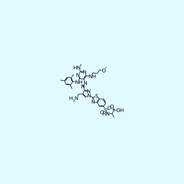 CNc1nc(NCCCOC)c(N=Nc2nn(-c3nc4cc(S(=O)(=O)NC(C)C(=O)O)ccc4s3)cc2CN)c(Nc2c(C)cc(C)cc2C)n1